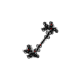 CCCCC1(OCCOC(=O)CCC(=O)OCCCCCCCCCCOC(=O)CCC(=O)OCCOC2(CCCC)c3cc(OC)ccc3-c3c2c2c(c4cc(OC)ccc34)OC(c3ccc(OC)cc3)(c3ccc(OC)cc3)C=C2)c2cc(OC)ccc2-c2c1c1c(c3cc(OC)ccc23)OC(c2ccc(OC)cc2)(c2ccc(OC)cc2)C=C1